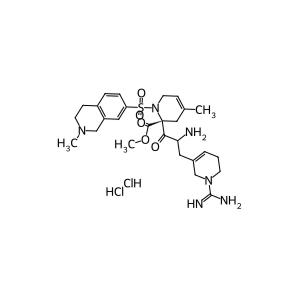 COC(=O)[C@]1(C(=O)C(N)CC2=CCCN(C(=N)N)C2)CC(C)=CCN1S(=O)(=O)c1ccc2c(c1)CN(C)CC2.Cl.Cl